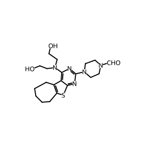 O=CN1CCN(c2nc(N(CCO)CCO)c3c4c(sc3n2)CCCCC4)CC1